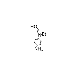 CCN(C=CO)c1ccc(N)cc1